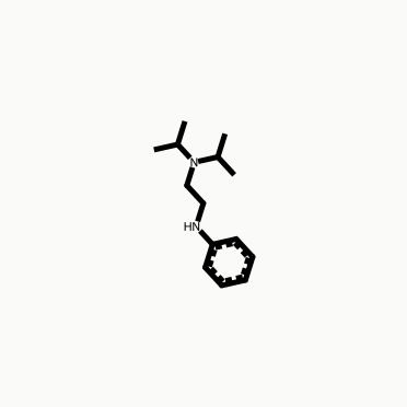 CC(C)N(CCNc1ccccc1)C(C)C